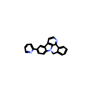 c1ccc(-c2ccc3c(c2)c2ccnc4c2n3Cc2ccccc2-4)nc1